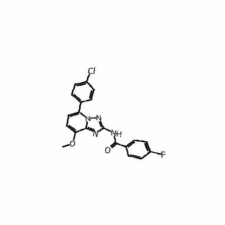 COc1ccc(-c2ccc(Cl)cc2)n2nc(NC(=O)c3ccc(F)cc3)nc12